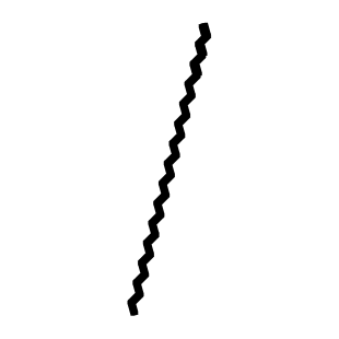 C=CC=CC=CCCCCCCCCCCCCCCCCCCCCCCCC